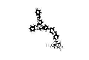 CC(C)(C)OC(=O)N1CCC(CN2CCN(c3ccc4c(c3)oc(=O)n4-c3ccc(OCc4ccccc4)nc3OCc3ccccc3)CC2)CC1